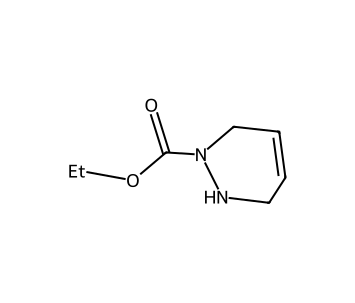 CCOC(=O)N1CC=CCN1